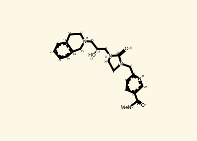 CNC(=O)c1ccc(CN2CCN(C[C@H](O)CN3CCc4ccccc4C3)C2=O)nc1